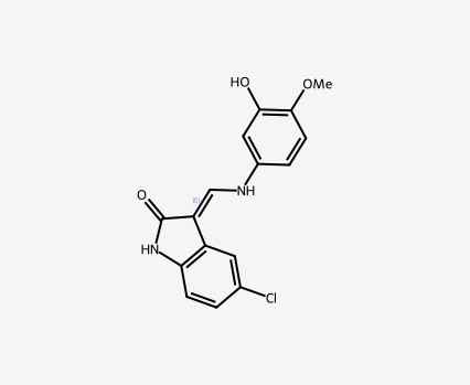 COc1ccc(N/C=C2/C(=O)Nc3ccc(Cl)cc32)cc1O